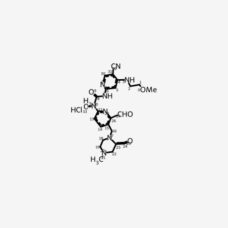 COCCNc1cc(NC(=O)N(C)c2ccc(CN3CCN(C)CC3=C=O)c(C=O)n2)ncc1C#N.Cl